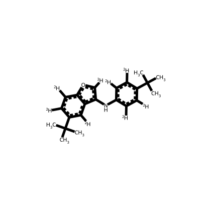 [2H]c1oc2c([2H])c([2H])c(C(C)(C)C)c([2H])c2c1Nc1c([2H])c([2H])c(C(C)(C)C)c([2H])c1[2H]